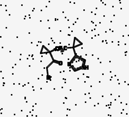 FC(F)(F)C1(c2c[nH]cn2)CC1.O=C(CBr)C1(C(F)(F)F)CC1